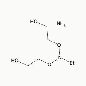 CCN(OCCO)OCCO.N